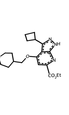 CCOC(=O)c1cc(OCC2CCOCC2)c2c(C3CCC3)n[nH]c2n1